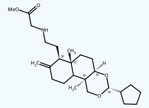 C=C1CCC2[C@]3(C)CO[C@@H](C4CCCC4)O[C@@H]3CC[C@@]2(C)[C@@H]1CCNCC(=O)OC